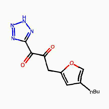 CCCCc1coc(CC(=O)C(=O)c2nn[nH]n2)c1